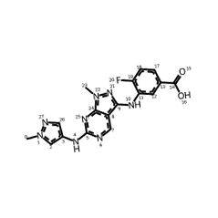 Cn1cc(Nc2ncc3c(Nc4cc(C(=O)O)ccc4F)nn(C)c3n2)cn1